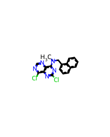 CN(Cc1cccc2ccccc12)c1nc(Cl)nc2c(Cl)ncnc12